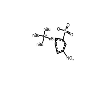 CCCC[N+](CCCC)(CCCC)CCCC.O=[N+]([O-])c1cccc(S(=O)(=O)[O-])c1